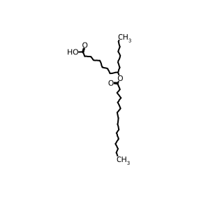 CCCCCCCCCCCCCCCC(=O)OC(CCCCCCC)CCCCCCCC(=O)O